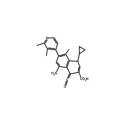 Cc1nccc(-c2cc(N)c3c(c2C)N(C2CC2)C=C(C(=O)O)C3=C=O)c1C